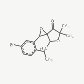 CCc1ccc(Br)cc1C1OC12C(=O)C(C)(C)OC2C